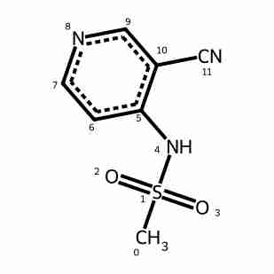 CS(=O)(=O)Nc1ccncc1C#N